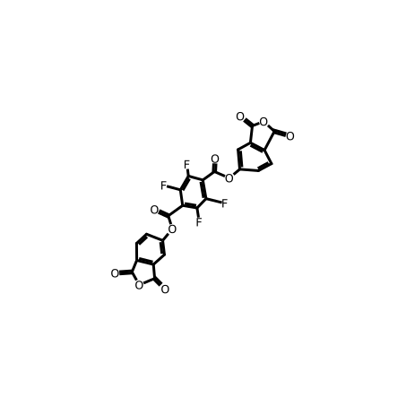 O=C1OC(=O)c2cc(OC(=O)c3c(F)c(F)c(C(=O)Oc4ccc5c(c4)C(=O)OC5=O)c(F)c3F)ccc21